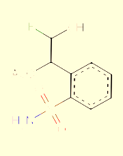 CC(=O)OC(c1ccccc1S(N)(=O)=O)C(C)F